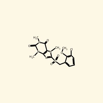 COc1c(Cl)cccc1CS(=O)(=O)c1nc2c(c(=O)n(C)c(=O)n2C)n1C